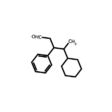 CC(C1CCCCC1)C(C[C]=O)c1ccccc1